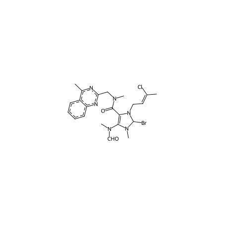 C/C(Cl)=C/CN1C(C(=O)N(C)Cc2nc(C)c3ccccc3n2)=C(N(C)C=O)N(C)C1Br